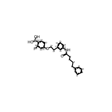 O=C(CCCCc1ccccc1)Nc1cccc(CCOc2ccc(B(O)O)c(F)c2)c1